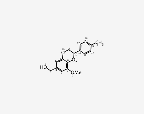 COc1cc(CO)cc2c1OC(c1ccc(C)nc1)CO2